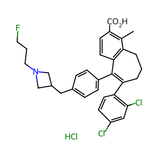 Cc1c(C(=O)O)ccc2c1CCCC(c1ccc(Cl)cc1Cl)=C2c1ccc(CC2CN(CCCF)C2)cc1.Cl